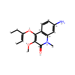 CC=C(CC)Oc1c(OC)c(=O)n(C)c2cc(N)ccc12